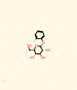 OC[C@H]1O[C@@H](Oc2ccccc2F)[C@H](O)[C@@H](O)[C@@H]1O